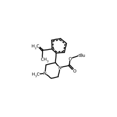 C=C(C)c1ccccc1C1CN(C)CCN1C(=O)OC(C)(C)C